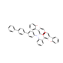 c1ccc(-c2ccc(-c3ccc(N(c4ccccc4-c4cccc5c4oc4ccccc45)c4cccc5oc6ccccc6c45)cc3)cc2)cc1